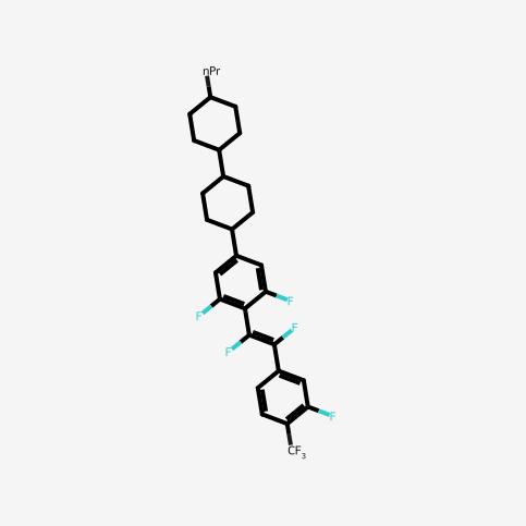 CCCC1CCC(C2CCC(c3cc(F)c(/C(F)=C(\F)c4ccc(C(F)(F)F)c(F)c4)c(F)c3)CC2)CC1